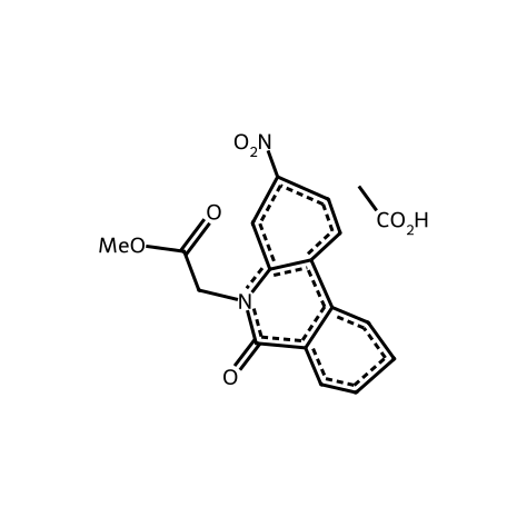 CC(=O)O.COC(=O)Cn1c(=O)c2ccccc2c2ccc([N+](=O)[O-])cc21